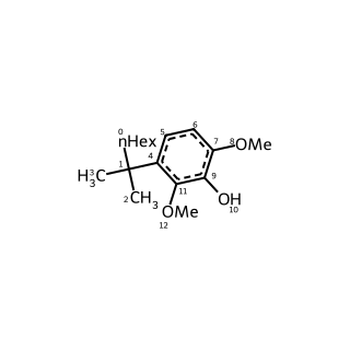 CCCCCCC(C)(C)c1ccc(OC)c(O)c1OC